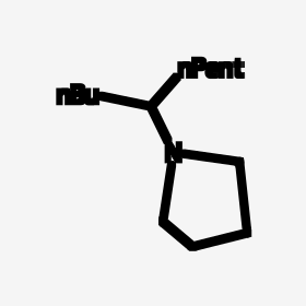 CCCCCC(CCCC)N1CCCC1